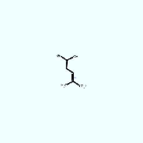 CCCC(O)C/C=C(\C)C(=O)O